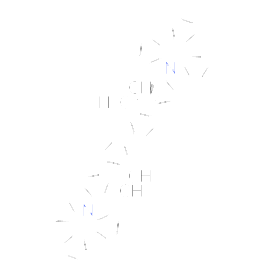 CC1(C)c2cc(-c3ccc4c(c3)C(C)(C)c3cc(N5c6ccccc6-c6ccccc6-c6ccccc65)ccc3-4)ccc2-c2ccc(N3C4=CCCC=C4c4ccccc4-c4ccccc43)cc21